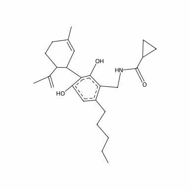 C=C(C)C1CCC(C)=CC1c1c(O)cc(CCCCC)c(CNC(=O)C2CC2)c1O